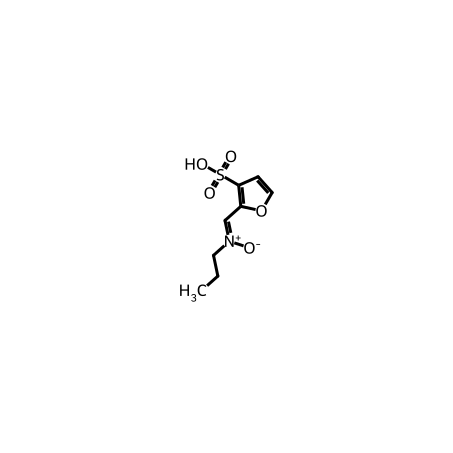 CCC[N+]([O-])=Cc1occc1S(=O)(=O)O